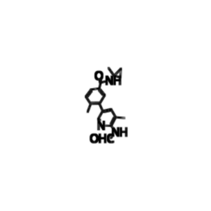 Cc1ccc(C(=O)NC2(C)CC2)cc1-c1cnc(NC=O)c(C)c1